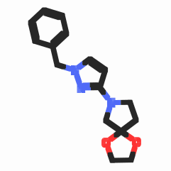 c1ccc(Cn2ccc(N3CCC4(C3)OCCO4)n2)cc1